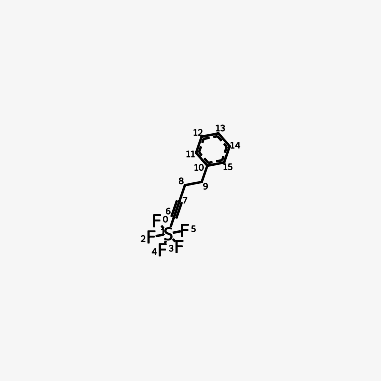 FS(F)(F)(F)(F)C#CCCc1ccccc1